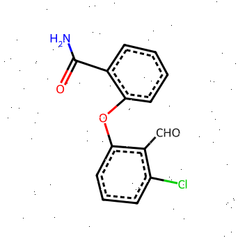 NC(=O)c1ccccc1Oc1cccc(Cl)c1C=O